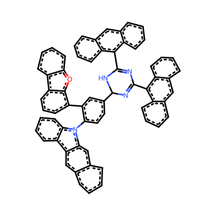 c1ccc2cc3c(cc2c1)c1ccccc1n3-c1ccc(C2N=C(c3c4ccccc4cc4ccccc34)N=C(c3c4ccccc4cc4ccccc34)N2)cc1-c1cccc2c1oc1ccccc12